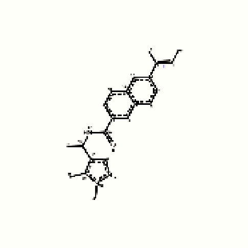 C/C=C(\C)c1ccc2cc(C(=O)NC(C)c3cnn(C)c3C)ccc2c1